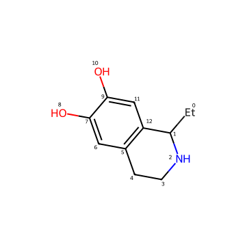 CCC1NCCc2cc(O)c(O)cc21